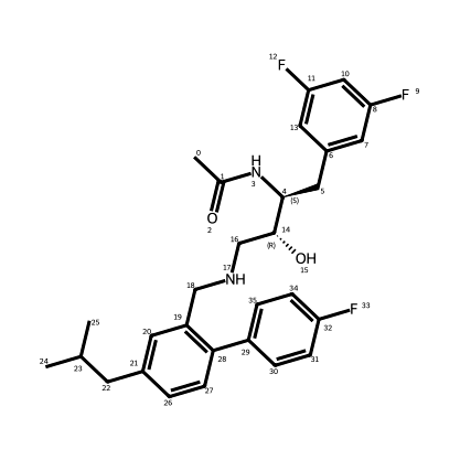 CC(=O)N[C@@H](Cc1cc(F)cc(F)c1)[C@H](O)CNCc1cc(CC(C)C)ccc1-c1ccc(F)cc1